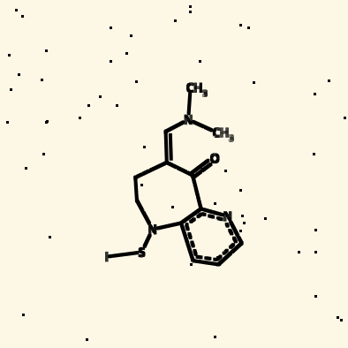 CN(C)/C=C1/CCN(SI)c2cccnc2C1=O